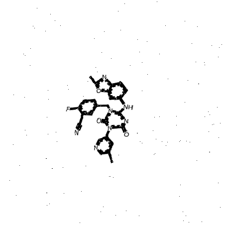 Cc1cncc(-n2c(=O)nc(Nc3ccc4nc(C)oc4c3)n(Cc3ccc(F)c(C#N)c3)c2=O)c1